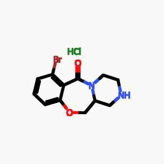 Cl.O=C1c2c(Br)cccc2OCC2CNCCN12